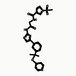 CC(C)(Oc1ccncc1)c1cccc(-c2csc(NC(=O)CNC(=O)c3ccn(S(C)(=O)=O)c3)n2)c1